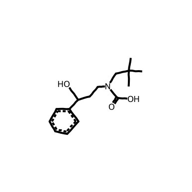 CC(C)(C)CN(CCC(O)c1ccccc1)C(=O)O